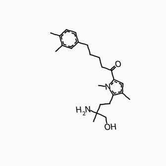 Cc1ccc(CCCCC(=O)c2cc(C)c(CCC(C)(N)CO)n2C)cc1C